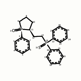 O=[P@]1(c2ccccc2)CCC[C@H]1CCP(=S)(c1ccccc1)c1ccccc1